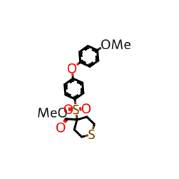 COC(=O)C1(S(=O)(=O)c2ccc(Oc3ccc(OC)cc3)cc2)CCSCC1